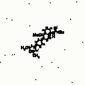 COc1c(-c2ccc(N3C[C@@H](C)O[C@@H](C)C3)cc2)cnc2c(NC(=O)C(C)(C)C)cccc12